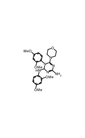 COc1ccc(NC2N=C(N)N=C(N3CCOCC3)N2c2ccc(OC)cc2OC)c(OC)c1